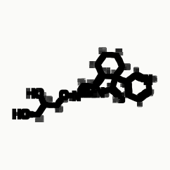 CNC(=S)C1(c2cccnc2)CCCCC1=CC=NOCC(O)CO